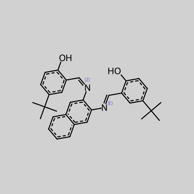 CC(C)(C)c1ccc(O)c(/C=N\c2cc3ccccc3cc2/N=C/c2cc(C(C)(C)C)ccc2O)c1